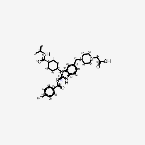 CC(C)NC(=O)[C@H]1CC[C@@H](n2/c(=N/C(=O)c3ccc(F)cc3)[nH]c3ccc(CN4CCN(CC(=O)O)CC4)cc32)CC1